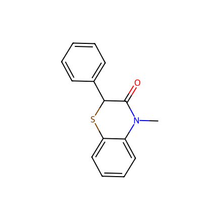 CN1C(=O)C(c2ccccc2)Sc2ccccc21